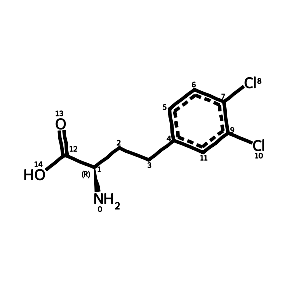 N[C@H](CCc1ccc(Cl)c(Cl)c1)C(=O)O